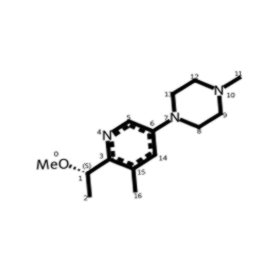 CO[C@@H](C)c1ncc(N2CCN(C)CC2)cc1C